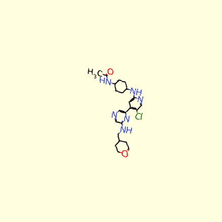 CC(=O)NC1CCC(Nc2cc(-c3cncc(NCC4CCOCC4)n3)c(Cl)cn2)CC1